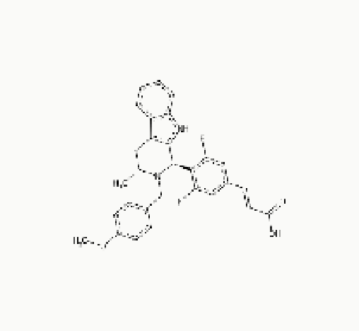 COc1ccc(CN2[C@H](c3c(F)cc(/C=C/C(=O)O)cc3F)c3[nH]c4ccccc4c3C[C@H]2C)cc1